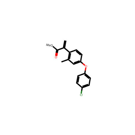 C=C(C(=O)OC)c1ccc(Oc2ccc(Cl)cc2)cc1C